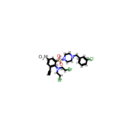 C#Cc1cc([N+](=O)[O-])cc(S(=O)(=O)N2CCN(Cc3cccc(Cl)c3)CC2)c1N(CCBr)CCBr